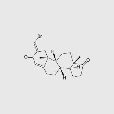 C[C@]12CC(=CBr)C(=O)C=C1CC[C@@H]1[C@H]2CC[C@]2(C)C(=O)CC[C@@H]12